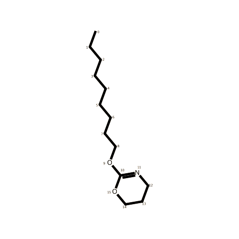 CCCCCCCCCOC1=NCCCO1